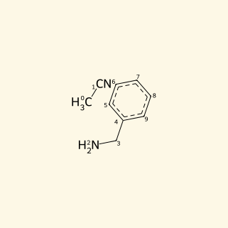 CC#N.NCc1ccccc1